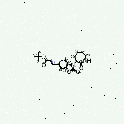 CC(C)(C)OC(=O)/C=C/c1ccc2c(c1)oc(=O)n2C1CCCCNC1=O